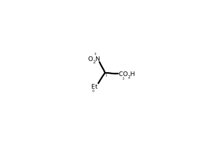 CCC(C(=O)O)[N+](=O)[O-]